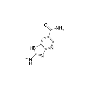 CNC1=Nc2ncc(C(N)=O)cc2B1